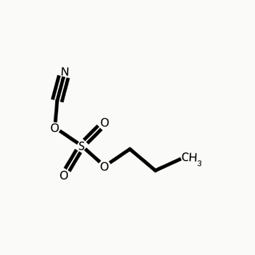 CCCOS(=O)(=O)OC#N